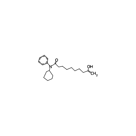 C=C(O)CCCCCCCC(=O)N(c1ccccc1)C1CCCCC1